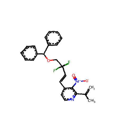 C=C(C)c1nccc(C=CC(F)(F)COC(c2ccccc2)c2ccccc2)c1[N+](=O)[O-]